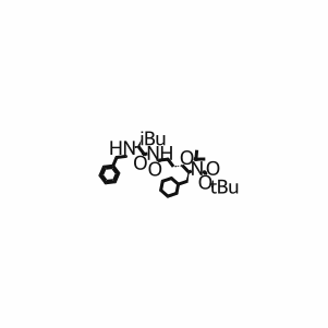 CC[C@H](C)[C@H](NCCc1ccccc1)C(=O)NC(=O)CC[C@@H]1OC(C)(C)N(C(=O)OC(C)(C)C)[C@H]1CC1CCCCC1